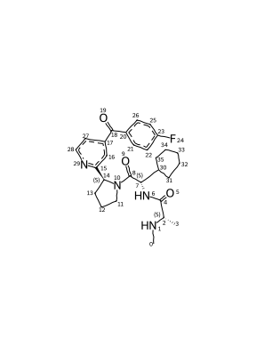 CN[C@@H](C)C(=O)N[C@H](C(=O)N1CCC[C@H]1c1cc(C(=O)c2ccc(F)cc2)ccn1)C1CCCCC1